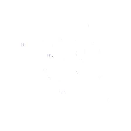 O=C(Nc1nonc1/C(=N\O)Nc1ccc(F)c(Br)c1)c1cccnc1.O=C(O)C(F)(F)F